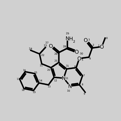 COC(=O)COc1cc(C)nn2c(Cc3ccccc3)c(CC(C)C)c(C(=O)C(N)=O)c12